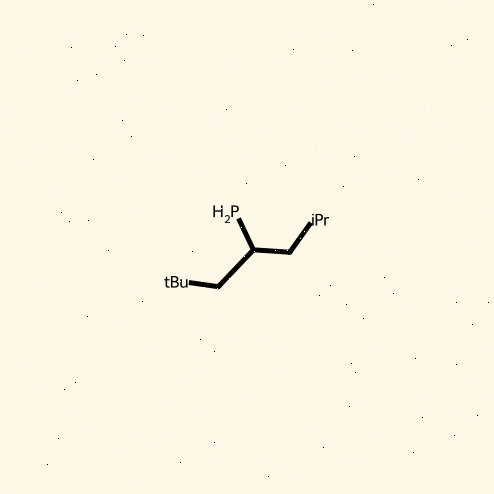 CC(C)CC(P)CC(C)(C)C